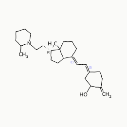 C=C1CC/C(=C/C=C2\CCCC3(C)C2CC[C@@H]3CCN2CCCCC2C)CC1O